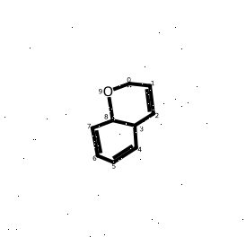 [C]1C=CC2C=CC=CC2O1